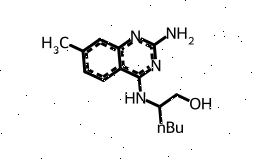 CCCCC(CO)Nc1nc(N)nc2cc(C)ccc12